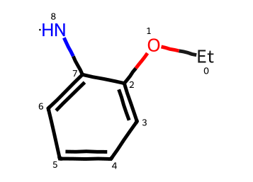 CCOc1ccccc1[NH]